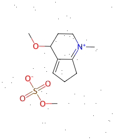 COC1CC[N+](C)=C2CCC=C21.COS(=O)(=O)[O-]